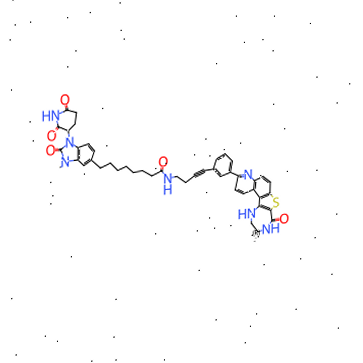 C[C@@H]1CNc2c(sc3ccc4nc(-c5cccc(C#CCCNC(=O)CCCCCCCc6ccc7c(c6)n(C)c(=O)n7C6CCC(=O)NC6=O)c5)ccc4c23)C(=O)N1